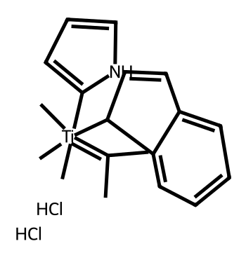 C[C](C)=[Ti]([CH3])([CH3])([CH3])([c]1ccc[nH]1)[CH]1C=Cc2ccccc21.Cl.Cl